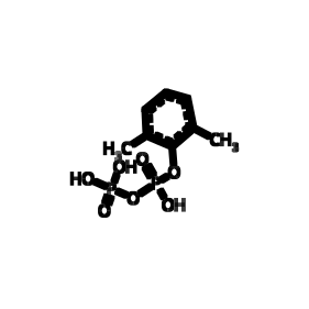 Cc1cccc(C)c1OP(=O)(O)OP(=O)(O)O